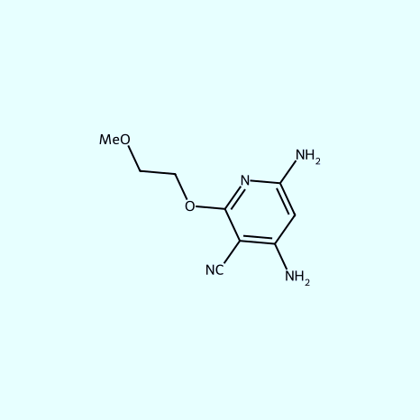 COCCOc1nc(N)cc(N)c1C#N